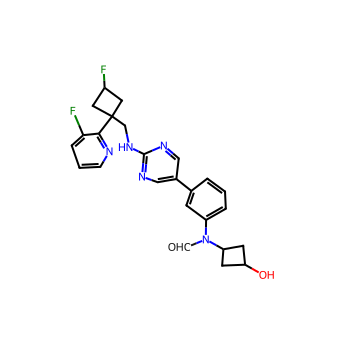 O=CN(c1cccc(-c2cnc(NCC3(c4ncccc4F)CC(F)C3)nc2)c1)C1CC(O)C1